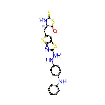 O=C1SC(=S)N/C1=C/c1cc2sc(NNc3ccc(Nc4ccccc4)cc3)nc2s1